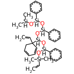 C=CC1([SiH](O[SiH](O[SiH](O[SiH](C)C)c2ccccc2)c2ccccc2)O[SiH](O[Si](C)(C)C=C)c2ccccc2)C=CC=CC1